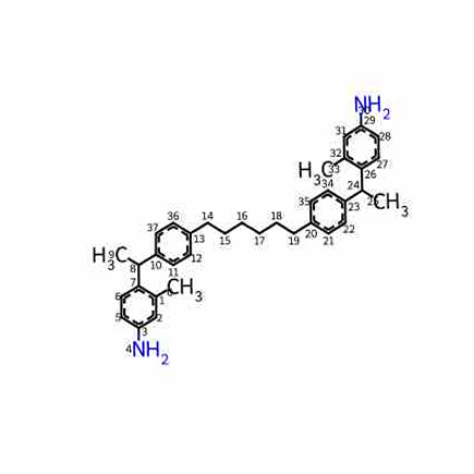 Cc1cc(N)ccc1C(C)c1ccc(CCCCCCc2ccc(C(C)c3ccc(N)cc3C)cc2)cc1